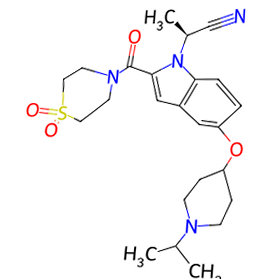 CC(C)N1CCC(Oc2ccc3c(c2)cc(C(=O)N2CCS(=O)(=O)CC2)n3[C@@H](C)C#N)CC1